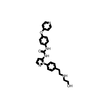 O=C(Nc1ccc(Oc2ccncc2)cc1)Nc1ccnn1-c1ccc(CCNCCO)cc1